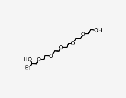 CCC(O)COCCOCCOCCOCCOCCO